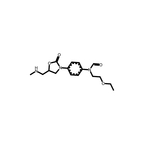 CCOCCN(C=O)c1ccc(N2CC(CNC)OC2=O)cc1